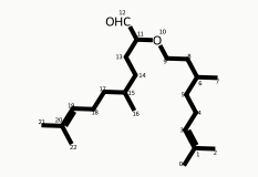 CC(C)=CCCC(C)CCOC(C=O)CCC(C)CCC=C(C)C